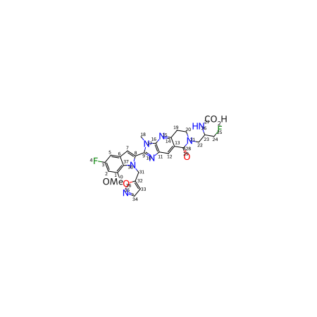 COc1cc(F)cc2cc(-c3nc4cc5c(nc4n3C)CCN(CC(CF)NC(=O)O)C5=O)n(Cc3ccno3)c12